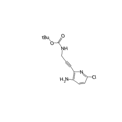 CC(C)(C)OC(=O)NCC#Cc1nc(Cl)ccc1N